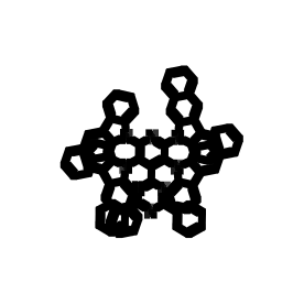 c1ccc(-c2nc(-c3ccccc3)nc(-c3c(-n4c5ccccc5c5cc6ccccc6cc54)c(-n4c5ccccc5c5cc6ccccc6cc54)nc(-n4c5ccccc5c5cc6ccccc6cc54)c3-n3c4ccccc4c4cc5ccccc5cc43)n2)cc1